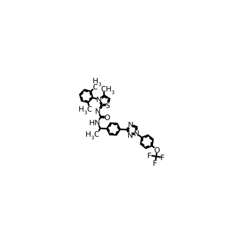 Cc1cccc(C)c1-n1c(C)cs/c1=N\C(=O)NC(C)c1ccc(-c2ncn(-c3ccc(OC(F)(F)F)cc3)n2)cc1